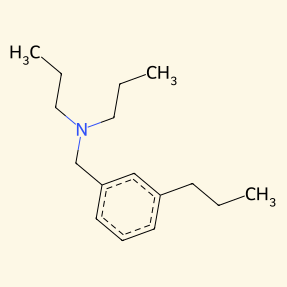 CCCc1cccc(CN(CCC)CCC)c1